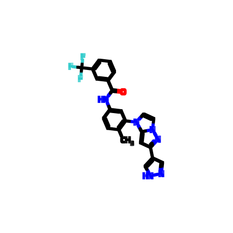 Cc1ccc(NC(=O)c2cccc(C(F)(F)F)c2)cc1-n1ccn2nc(-c3cn[nH]c3)cc12